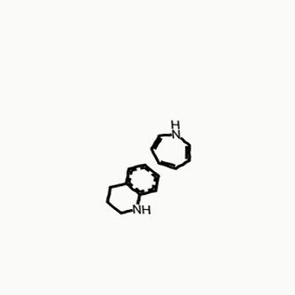 C1=CC=CNC=C1.c1ccc2c(c1)CCCN2